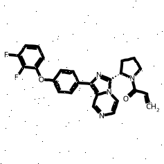 C=CC(=O)N1CCC[C@H]1c1nc(-c2ccc(Oc3cccc(F)c3F)cc2)c2cnccn12